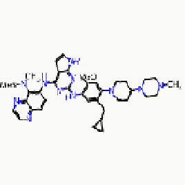 COc1cc(N2CCC(N3CCN(C)CC3)CC2)c(CC2CC2)cc1Nc1nc(Nc2ccc3nccnc3c2N(C)SC)c2cc[nH]c2n1